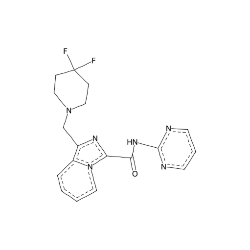 O=C(Nc1ncccn1)c1nc(CN2CCC(F)(F)CC2)c2ccccn12